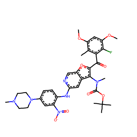 COc1cc(OC)c(F)c(C(=O)c2oc3cnc(Nc4ccc(N5CCN(C)CC5)cc4[N+](=O)[O-])cc3c2N(C)C(=O)OC(C)(C)C)c1C